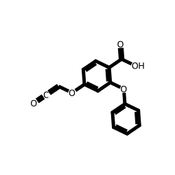 O=C=COc1ccc(C(=O)O)c(Oc2ccccc2)c1